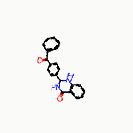 O=C(c1ccccc1)c1ccc(C2NC(=O)c3ccccc3N2)cc1